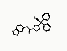 N#CC(c1ccccc1)(c1ccccc1)C1CCN(C(=O)Cc2ccc3c(c2)CCO3)C1